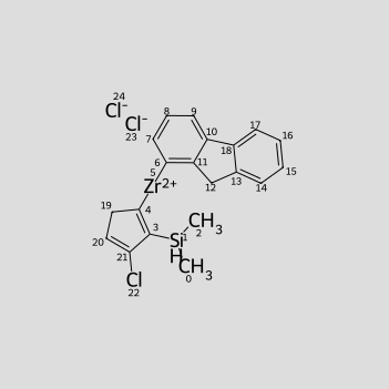 C[SiH](C)C1=[C]([Zr+2][c]2cccc3c2Cc2ccccc2-3)CC=C1Cl.[Cl-].[Cl-]